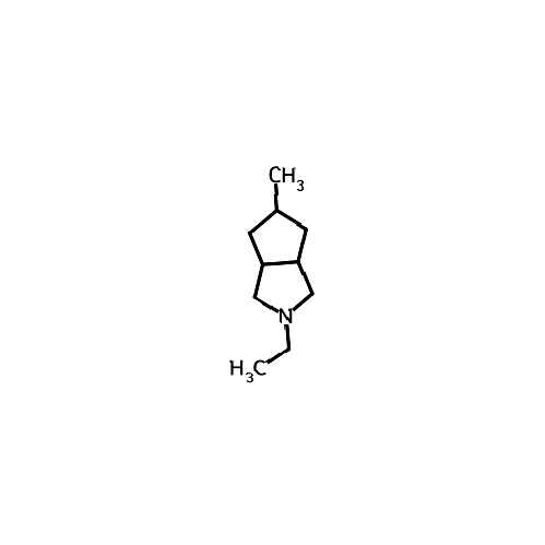 CCN1CC2CC(C)CC2C1